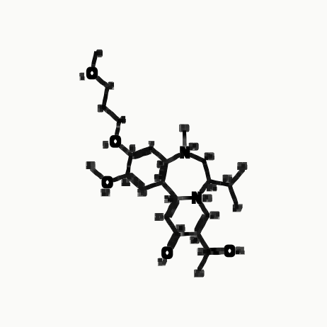 COCCCOc1cc2c(cc1OC)-c1cc(=O)c(C(C)=O)cn1C(C(C)C)CN2C